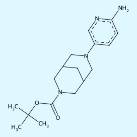 CC(C)(C)OC(=O)N1CC2CC(C1)CN(c1ccc(N)nc1)C2